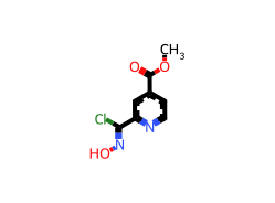 COC(=O)c1ccnc(/C(Cl)=N/O)c1